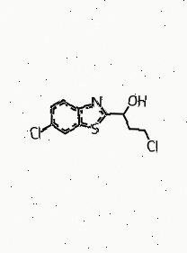 OC(CCCl)c1nc2ccc(Cl)cc2s1